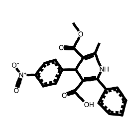 COC(=O)C1=C(C)NC(c2ccccc2)=C(C(=O)O)C1c1ccc([N+](=O)[O-])cc1